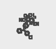 Cn1c(=O)c(C#N)c(N2CCN([C@@H](c3ccccc3)c3ccc(Cl)cc3)CC2)c2nc(C#N)ccc21